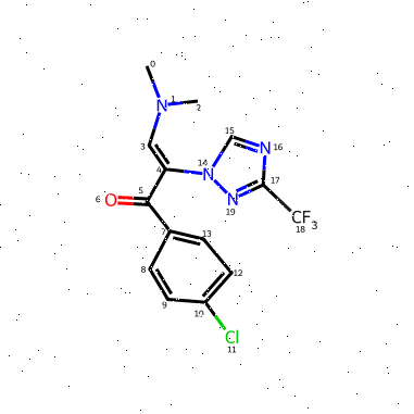 CN(C)C=C(C(=O)c1ccc(Cl)cc1)n1cnc(C(F)(F)F)n1